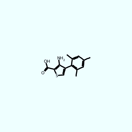 Cc1cc(C)c(-c2csc(C(=O)O)c2N)c(C)c1